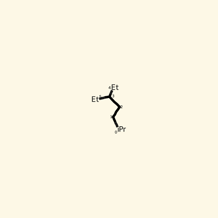 [CH2]C(C)CCC(CC)CC